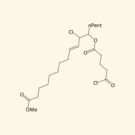 CCCCCC(OC(=O)CCCC(=O)Cl)C(Cl)C=CCCCCCCCC(=O)OC